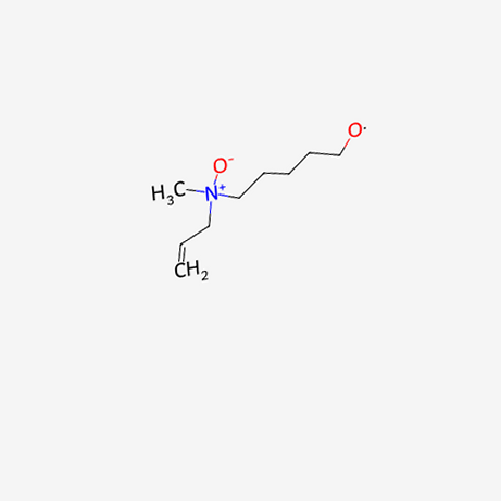 C=CC[N+](C)([O-])CCCCC[O]